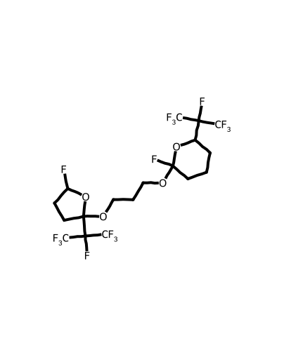 FC1CCC(OCCCOC2(F)CCCC(C(F)(C(F)(F)F)C(F)(F)F)O2)(C(F)(C(F)(F)F)C(F)(F)F)O1